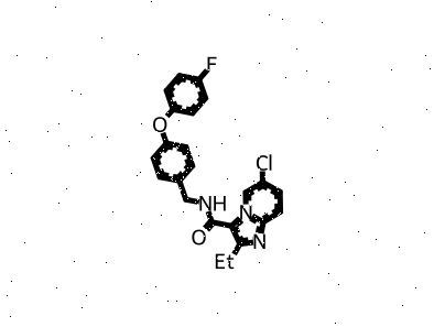 CCc1nc2ccc(Cl)cn2c1C(=O)NCc1ccc(Oc2ccc(F)cc2)cc1